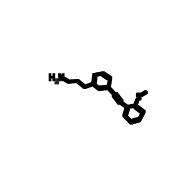 CSc1ccccc1C#Cc1cccc(CCCN)c1